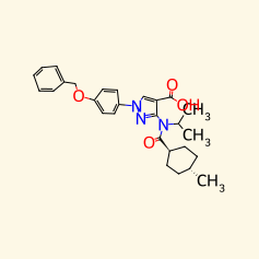 CC(C)N(c1nn(-c2ccc(OCc3ccccc3)cc2)cc1C(=O)O)C(=O)[C@H]1CC[C@H](C)CC1